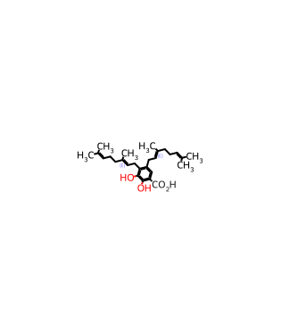 CC(C)=CCC/C(C)=C/Cc1cc(C(=O)O)c(O)c(O)c1C/C=C(\C)CCC=C(C)C